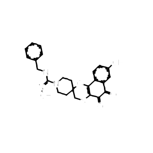 C/N=C(/NCc1ccccc1)N1CCC2(CC1)CSC1=C(O2)c2ccc(C)cc2C(=O)C1=O